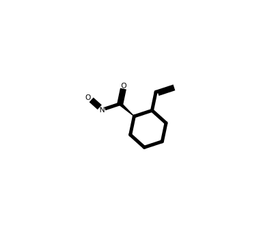 C=CC1CCCC[C@H]1C(=O)N=O